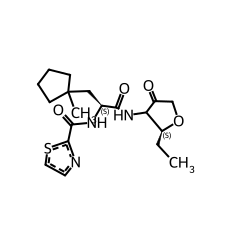 CC[C@@H]1OCC(=O)C1NC(=O)[C@H](CC1(C)CCCC1)NC(=O)c1nccs1